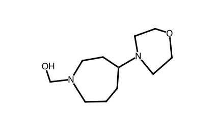 OCN1CCCC(N2CCOCC2)CC1